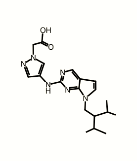 CC(C)C(Cn1ccc2cnc(Nc3cnn(CC(=O)O)c3)nc21)C(C)C